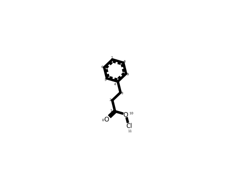 O=C(CCc1ccccc1)OCl